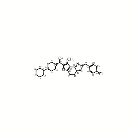 Cc1c(C(=O)N2CCN(C3CCCCC3)CC2)oc2c1-c1nn(Cc3ccc(Cl)cc3)cc1CC2